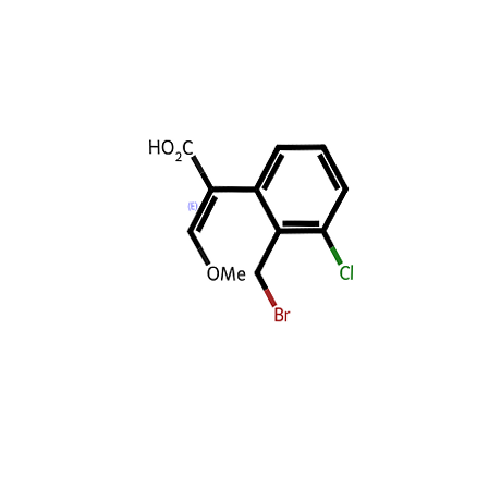 CO/C=C(/C(=O)O)c1cccc(Cl)c1CBr